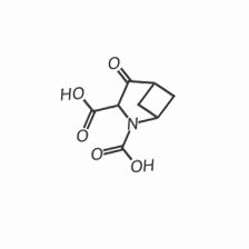 O=C(O)C1C(=O)C2CC(C2)N1C(=O)O